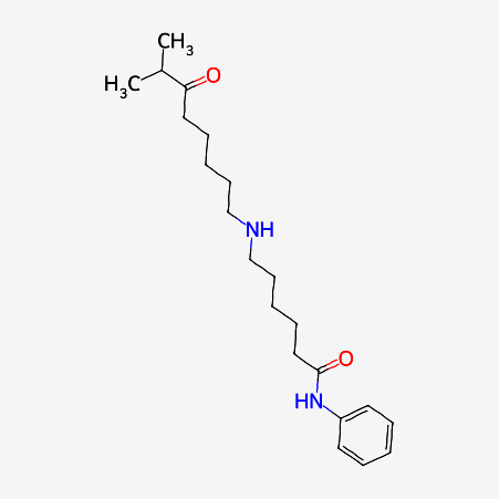 CC(C)C(=O)CCCCCNCCCCCC(=O)Nc1ccccc1